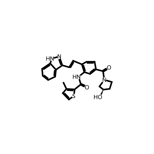 Cc1ccsc1C(=O)Nc1cc(C(=O)N2CC[C@@H](O)C2)ccc1/C=C/c1n[nH]c2ccccc12